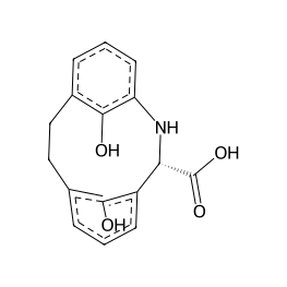 O=C(O)[C@H]1Nc2cccc(c2O)CCc2cccc1c2O